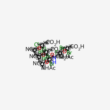 CC(=O)Nc1cc(C#N)cc(COc2c(Br)cc(C(=O)NCC(=O)O)cc2Br)c1.CC(=O)Nc1cc(C#N)cc(COc2c(Br)cc(CCC(=O)O)cc2Br)c1.CC(=O)Nc1cc(C#N)cc(COc2c(Cl)cc(CCC(=O)O)cc2Cl)c1.CC(=O)Nc1cc(F)cc(COc2c(Br)cc(CC(=O)O)cc2Br)c1